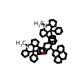 CN1c2ccccc2C(c2ccccc2)(c2ccccc2)c2c(-c3cccc4c(-c5cc6cccc7ccc8cccc5c8c76)c5cccc(-c6cccc7c6C(c6ccccc6)(c6ccccc6)c6ccccc6N7C)c5cc34)cccc21